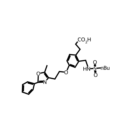 CCCCS(=O)(=O)NCc1cc(OCCc2nc(-c3ccccc3)oc2C)ccc1CCC(=O)O